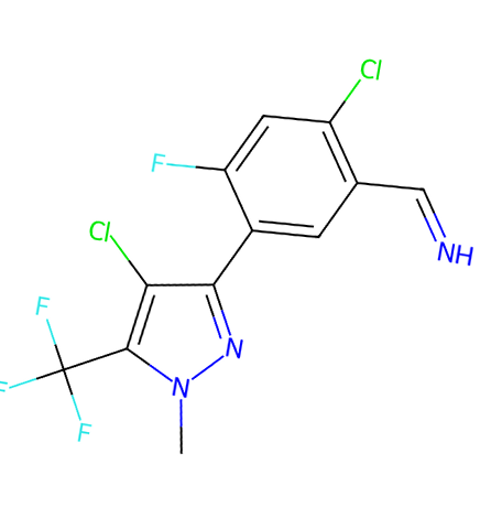 Cn1nc(-c2cc(C=N)c(Cl)cc2F)c(Cl)c1C(F)(F)F